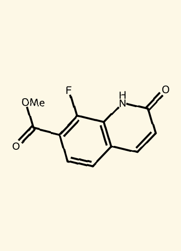 COC(=O)c1ccc2ccc(=O)[nH]c2c1F